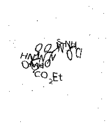 CCOC(=O)COC(=O)C1NC(=O)C1NC(=O)C(=NOC)c1csc(NC(=O)CCl)n1